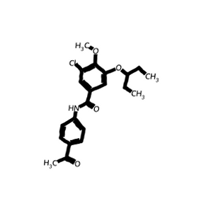 CCC(CC)Oc1cc(C(=O)Nc2ccc(C(C)=O)cc2)cc(Cl)c1OC